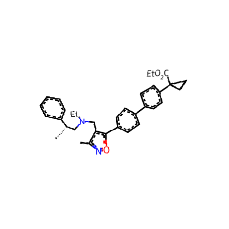 CCOC(=O)C1(c2ccc(-c3ccc(-c4onc(C)c4CN(CC)C[C@H](C)c4ccccc4)cc3)cc2)CC1